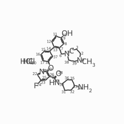 CN1CCCN(Cc2cc(O)ccc2-c2cccc(Oc3ncc(F)cc3C(=O)N[C@H]3CC[C@H](N)CC3)c2)CC1.Cl.Cl